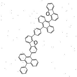 c1ccc(-c2c3ccccc3c(-c3ccc4oc5c(-c6ccc(-c7c8ccccc8c(-c8cccc9c8oc8ccccc89)c8ccccc78)cc6)cccc5c4c3)c3ccccc23)cc1